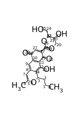 CCCC1OC(C)=Cc2cc3c(c(O)c21)C(=O)C([C@@H]1OC[C@@H](O)[C@H](CO)O1)=CC3=O